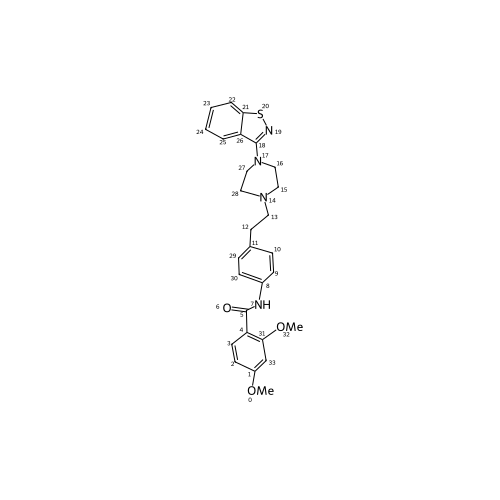 COc1ccc(C(=O)Nc2ccc(CCN3CCN(c4nsc5ccccc45)CC3)cc2)c(OC)c1